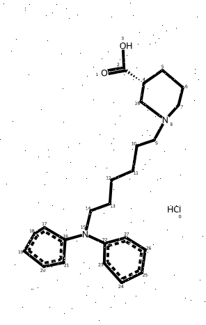 Cl.O=C(O)[C@@H]1CCCN(CCCCCCN(c2ccccc2)c2ccccc2)C1